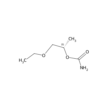 CCOC[C@H](C)OC(N)=O